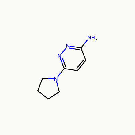 Nc1ccc(N2CCCC2)nn1